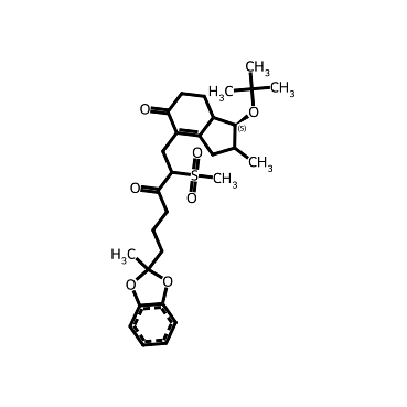 CC1CC2=C(CC(C(=O)CCCC3(C)Oc4ccccc4O3)S(C)(=O)=O)C(=O)CCC2[C@H]1OC(C)(C)C